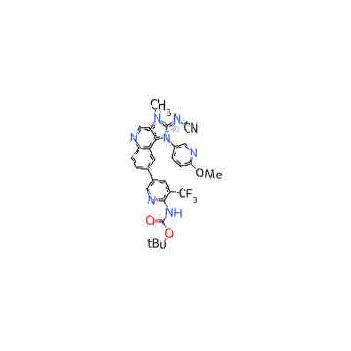 COc1ccc(-n2/c(=N\C#N)n(C)c3cnc4ccc(-c5cnc(NC(=O)OC(C)(C)C)c(C(F)(F)F)c5)cc4c32)cn1